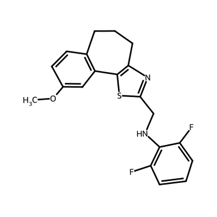 COc1ccc2c(c1)-c1sc(CNc3c(F)cccc3F)nc1CCC2